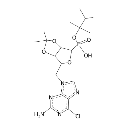 CC(C)C(C)(C)OP(=O)(O)C1OC(Cn2cnc3c(Cl)nc(N)nc32)C2OC(C)(C)OC21